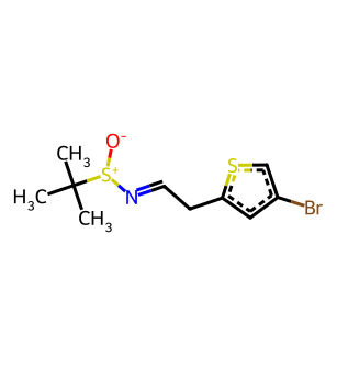 CC(C)(C)[S+]([O-])/N=C/Cc1cc(Br)cs1